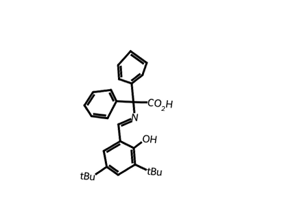 CC(C)(C)c1cc(C=NC(C(=O)O)(c2ccccc2)c2ccccc2)c(O)c(C(C)(C)C)c1